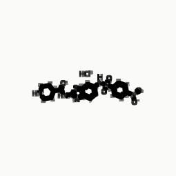 Cl.O=C(Nc1nc2ccc(NS(=O)(=O)c3ccc([N+](=O)[O-])cc3)cc2s1)C1CCNCC1